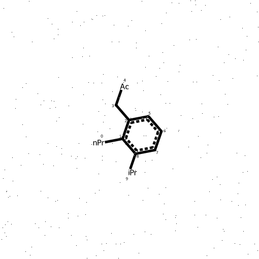 CCCc1c(CC(C)=O)cccc1C(C)C